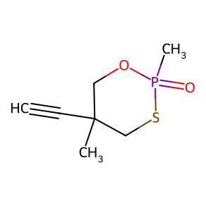 C#CC1(C)COP(C)(=O)SC1